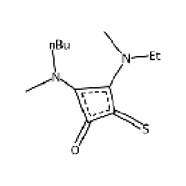 CCCCN(C)c1c(N(C)CC)c(=S)c1=O